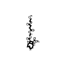 COCCOC(=O)CCC(=O)OCCOC(=O)[C@@H]1[C@H]2CC/C=C/CC[C@@H]2[C@@H]1C(=O)OC